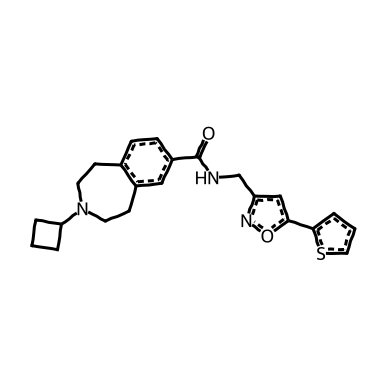 O=C(NCc1cc(-c2cccs2)on1)c1ccc2c(c1)CCN(C1CCC1)CC2